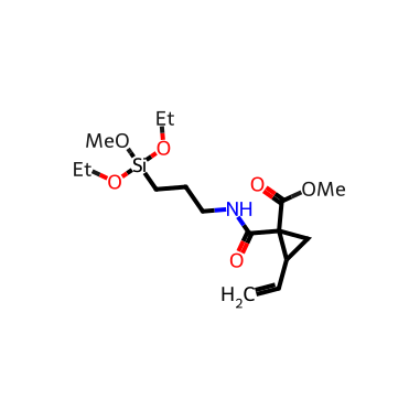 C=CC1CC1(C(=O)NCCC[Si](OC)(OCC)OCC)C(=O)OC